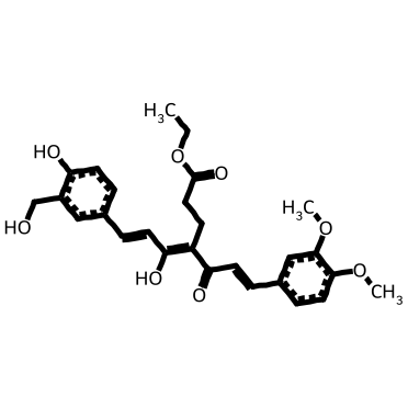 CCOC(=O)CC/C(C(=O)/C=C/c1ccc(OC)c(OC)c1)=C(O)\C=C\c1ccc(O)c(CO)c1